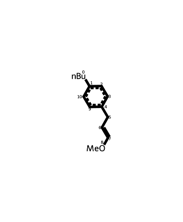 CCCCc1ccc(C/C=C/OC)cc1